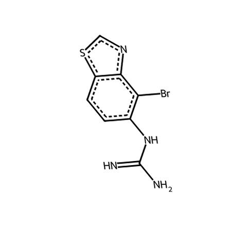 N=C(N)Nc1ccc2scnc2c1Br